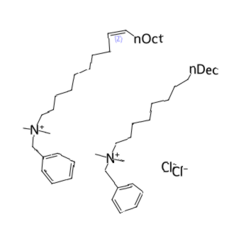 CCCCCCCC/C=C\CCCCCCCC[N+](C)(C)Cc1ccccc1.CCCCCCCCCCCCCCCCCC[N+](C)(C)Cc1ccccc1.[Cl-].[Cl-]